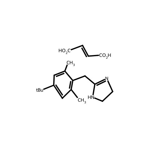 Cc1cc(C(C)(C)C)cc(C)c1CC1=NCCN1.O=C(O)/C=C/C(=O)O